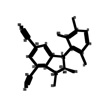 Cc1ccc(C)c(N2c3cc(C#N)cc(C#N)c3N(C)[C@@H]2C)c1C